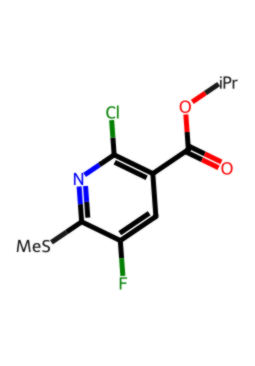 CSc1nc(Cl)c(C(=O)OC(C)C)cc1F